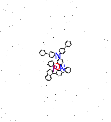 O=P1(c2ccccc2)c2ccc3ccccc3c2-c2ccc3c4ccccc4n(-c4ccc(N(c5ccc(-c6ccccc6)cc5)c5ccc(-c6ccccc6)cc5)cc4)c3c21